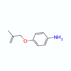 C=C(C)COc1ccc(N)cc1